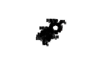 NCCCC[C@H](NC(=O)[C@H](CC(=O)O)NC(=O)[C@H](CC(=O)O)NC(=O)[C@H](CC(=O)O)NC(=O)[C@H](CC(=O)O)NC(=O)[C@H](CCCCN)NC(=O)[C@H](Cc1ccc(O)cc1)NC(=O)[C@H](CC(=O)O)NC(=O)[C@H](CO)NC(=O)[C@@H]1Cc2csc(c2)C2=N[C@@H](CS2)C(=O)N[C@@H](CCCCN)C(=O)N[C@@H](CCC(N)=O)C(=O)N[C@@H](CCCCN)C(=O)N2CCCC2C(=O)N1)C(=O)O